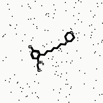 ClC[SiH2]c1ccc(Cl)cc1CCCCCCCN1CCOCC1